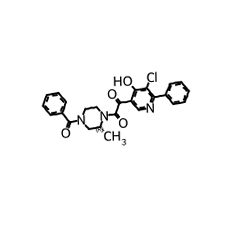 C[C@@H]1CN(C(=O)c2ccccc2)CCN1C(=O)C(=O)c1cnc(-c2ccccc2)c(Cl)c1O